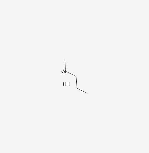 CC[CH2][Al][CH3].[HH]